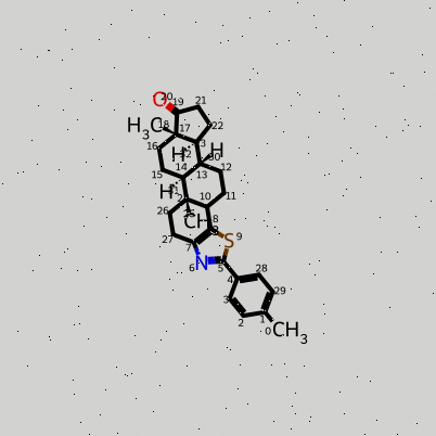 Cc1ccc(-c2nc3c(s2)C2CC[C@@H]4[C@H](CC[C@]5(C)C(=O)CC[C@@H]45)[C@@]2(C)CC3)cc1